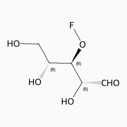 O=C[C@H](O)[C@H](OF)[C@H](O)CO